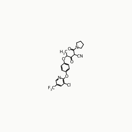 CC(Oc1ccc(Oc2ncc(C(F)(F)F)cc2Cl)cc1)C(=O)C(C#N)C(=O)N1CCCC1